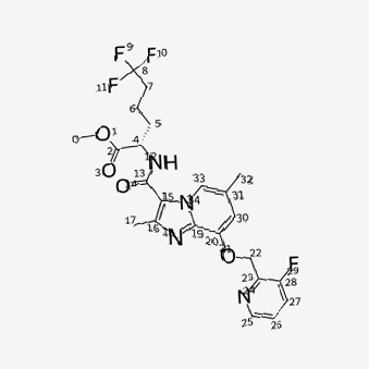 COC(=O)[C@H](CCCC(F)(F)F)NC(=O)c1c(C)nc2c(OCc3ncccc3F)cc(C)cn12